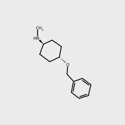 CN[C@H]1CC[C@H](OCc2ccccc2)CC1